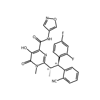 C[C@H](c1nc(C(=O)Nc2cnoc2)c(O)c(=O)n1C)[C@@H](c1ccc(F)cc1F)c1ccccc1C#N